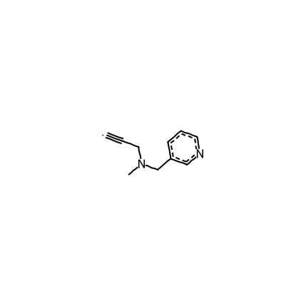 [C]#CCN(C)Cc1cccnc1